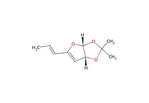 C/C=C/C1=C[C@H]2OC(C)(C)O[C@H]2O1